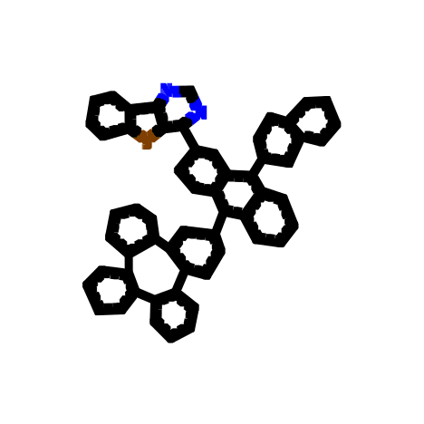 c1ccc2c(c1)-c1ccccc1-c1ccc(-c3c4ccccc4c(-c4ccc5ccccc5c4)c4cc(-c5ncnc6c5sc5ccccc56)ccc34)cc1-c1ccccc1-2